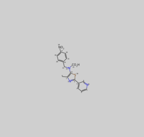 Cc1nc(-c2cccnc2)sc1N(Cc1ccc([N+](=O)[O-])cc1)C(=O)O